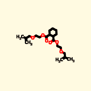 C=C(C)COCCOC(=O)C1CCCCC1C(=O)OCCOCC(=C)C